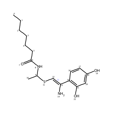 CCCCCCC(=O)NC(C)S/C=C(\N)c1ccc(O)cc1O